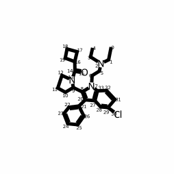 CCN(CC)CCn1c(C2CCCN2C(=O)C2CCC2)c(-c2ccccc2)c2cc(Cl)ccc21